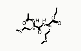 CCOC(=O)[C@H](CCSC)NC(=O)[C@H](CCSC)NC(C)=O